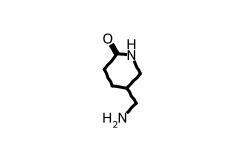 NCC1CCC(=O)NC1